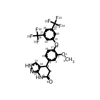 COc1cc(C2CC(=O)Nc3n[nH]cc32)ccc1Oc1cc(C(F)(F)F)cc(C(F)(F)F)c1